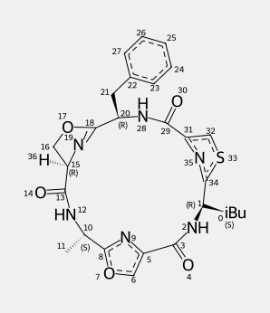 CC[C@H](C)[C@H]1NC(=O)c2coc(n2)[C@H](C)NC(=O)[C@H]2COC(=N2)[C@@H](Cc2ccccc2)NC(=O)c2csc1n2